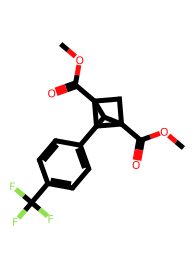 COC(=O)C12CC(C(=O)OC)(C1)C2c1ccc(C(F)(F)F)cc1